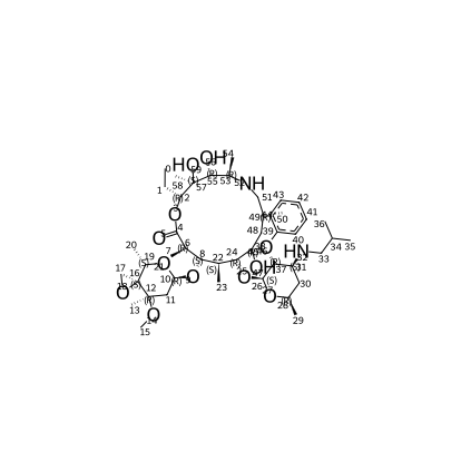 CC[C@H]1OC(=O)[C@H](C)[C@@H](O[C@H]2C[C@@](C)(OC)[C@]3(CO3)[C@H](C)O2)[C@H](C)[C@@H](O[C@@H]2O[C@H](C)C[C@H](NCC(C)C)[C@H]2Oc2ccccc2)[C@](C)(O)C[C@@H](C)CN[C@H](C)[C@@H](O)[C@]1(C)O